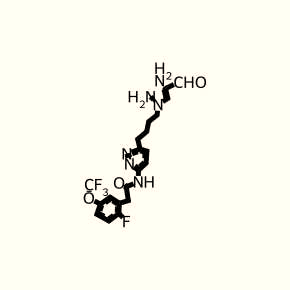 N/C(C=O)=C\N(N)CCCCc1ccc(NC(=O)Cc2cc(OC(F)(F)F)ccc2F)nn1